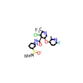 CN[S@+]([O-])c1cccc(NC(=O)c2c(Oc3ccc(F)nc3C)cnc(C(F)(F)F)c2Cl)c1